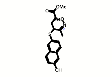 CO/N=C(/C)C(CCC(=O)OC)Sc1ccc2cc(O)ccc2c1